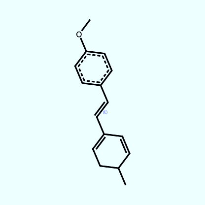 COc1ccc(/C=C/C2=CCC(C)C=C2)cc1